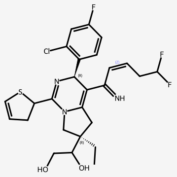 CC[C@@]1(C(O)CO)CC2=C(C(=N)/C=C\CC(F)F)[C@H](c3ccc(F)cc3Cl)N=C(C3CC=CS3)N2C1